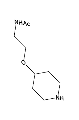 CC(=O)NCCOC1CCNCC1